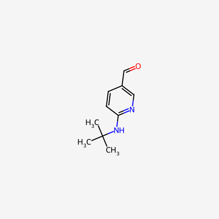 CC(C)(C)Nc1ccc(C=O)cn1